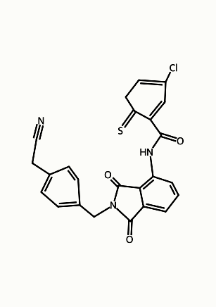 N#CCc1ccc(CN2C(=O)c3cccc(NC(=O)C4=CC(Cl)=CCC4=S)c3C2=O)cc1